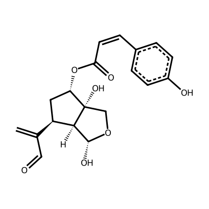 C=C(C=O)[C@H]1C[C@H](OC(=O)/C=C\c2ccc(O)cc2)[C@@]2(O)CO[C@H](O)[C@@H]12